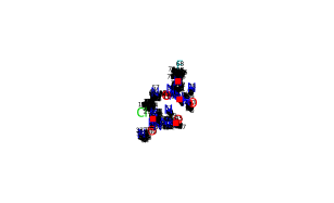 C=CC(=O)N1CCN(c2nc(OC[C@@H]3CC(c4cc(C)c(Cl)c(N5CCc6c(nc(OC[C@@H]7CCCN7C)nc6N6CCN(C(=O)C=C)[C@@H](CC#N)C6)C5)c4)CN3C)nc3c2CCN(c2ccc(F)c(C)c2C)C3)C[C@@H]1CC#N